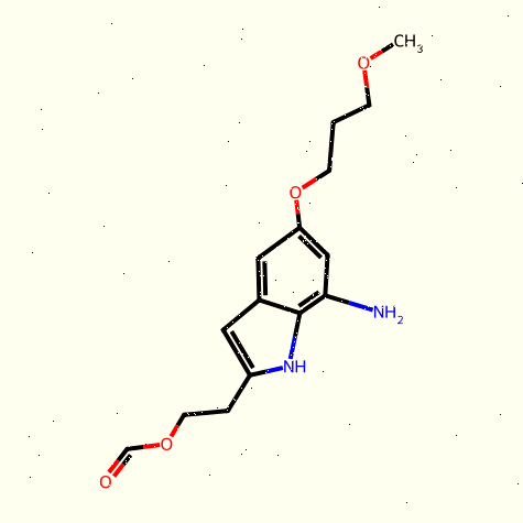 COCCCOc1cc(N)c2[nH]c(CCOC=O)cc2c1